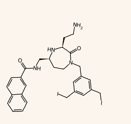 NCC[C@@H]1N[C@H](CNC(=O)c2ccc3ccccc3c2)CCN(Cc2cc(CI)cc(CI)c2)C1=O